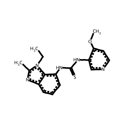 CCn1c(C)nc2cccc(NC(=S)Nc3cnccc3OC)c21